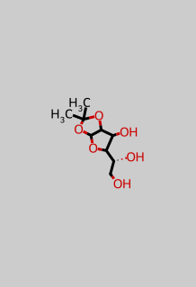 CC1(C)OC2OC([C@H](O)CO)C(O)C2O1